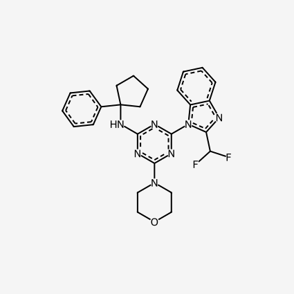 FC(F)c1nc2ccccc2n1-c1nc(NC2(c3ccccc3)CCCC2)nc(N2CCOCC2)n1